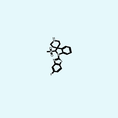 CS(=O)(=O)C1N(c2nc3cc(F)ccc3s2)c2ccccc2C12CCNCC2